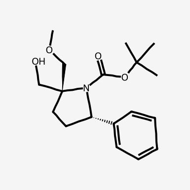 COC[C@]1(CO)CC[C@@H](c2ccccc2)N1C(=O)OC(C)(C)C